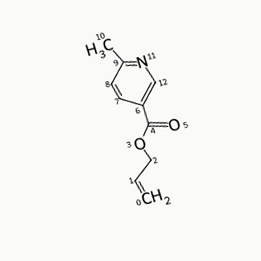 C=CCOC(=O)c1ccc(C)nc1